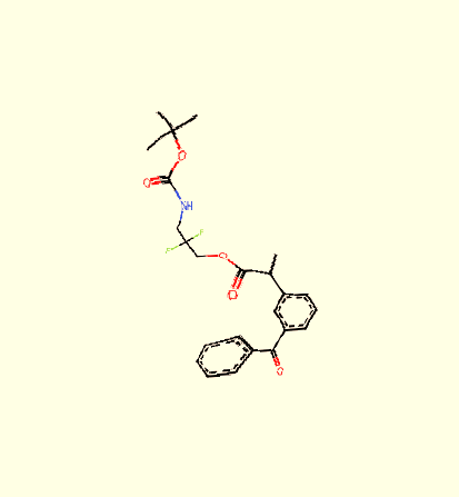 CC(C(=O)OCC(F)(F)CNC(=O)OC(C)(C)C)c1cccc(C(=O)c2ccccc2)c1